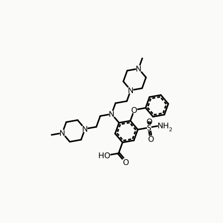 CN1CCN(CCN(CCN2CCN(C)CC2)c2cc(C(=O)O)cc(S(N)(=O)=O)c2Oc2ccccc2)CC1